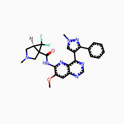 COc1cc2ncnc(-c3cn(C)nc3-c3ccccc3)c2nc1NC(=O)C12CN(C)C[C@H]1C2(F)F